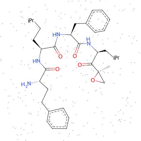 CC(C)CC[C@H](NC(=O)[C@@H](N)CCc1ccccc1)C(=O)N[C@@H](Cc1ccccc1)C(=O)N[C@@H](CC(C)C)C(=O)[C@@]1(C)CO1